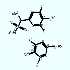 CNS(=O)(=O)C(SC)c1cc(F)c(C#N)c(F)c1.N#Cc1c(F)cc(C=O)cc1F